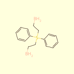 BCCS(CCB)(c1ccccc1)c1ccccc1